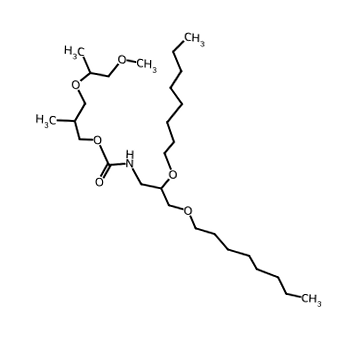 CCCCCCCCOCC(CNC(=O)OCC(C)COC(C)COC)OCCCCCCCC